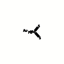 [Au].[Pd].[S]=[Mo]=[S]